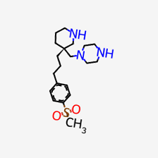 CS(=O)(=O)c1ccc(CCC[C@@]2(CN3CCNCC3)CCCNC2)cc1